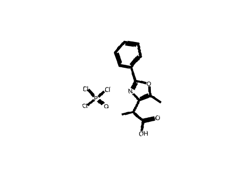 Cc1oc(-c2ccccc2)nc1C(C)C(=O)O.O=P(Cl)(Cl)Cl